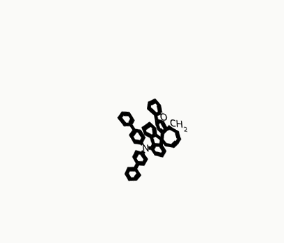 C=C1/C=C\C=C/CC2(c3ccccc3-c3c(N(c4ccc(-c5ccccc5)cc4)c4ccc(-c5ccccc5)cc4)cccc32)c2ccc3c(oc4ccccc43)c21